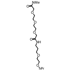 CCCOCCOCCCNC(=O)COCCOCCOCC(=O)NC